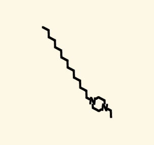 CCCCCCCCCCCCCCCN1CCN(CC)CC1